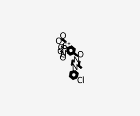 COC(=O)C[S+]([O-])c1ccc(C(=O)N2CCN(c3cccc(Cl)c3)C(C)C2)cc1[N+](=O)[O-]